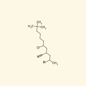 CC(Br)CC(C#N)CC(Cl)CCCCC(C)(C)C